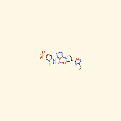 CCc1noc(C2CCN(c3ncnc(Nc4ccc(S(C)(=O)=O)cc4F)c3[N+](=O)[O-])CC2)n1